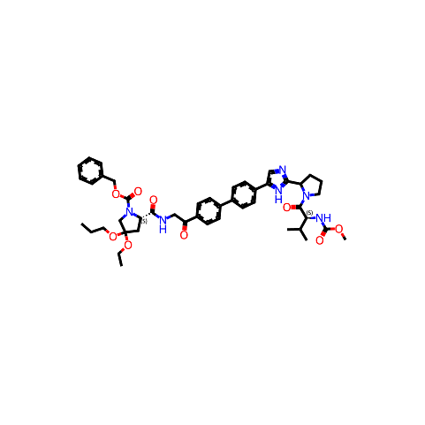 CCCOC1(OCC)C[C@@H](C(=O)NCC(=O)c2ccc(-c3ccc(-c4cnc(C5CCCN5C(=O)[C@@H](NC(=O)OC)C(C)C)[nH]4)cc3)cc2)N(C(=O)OCc2ccccc2)C1